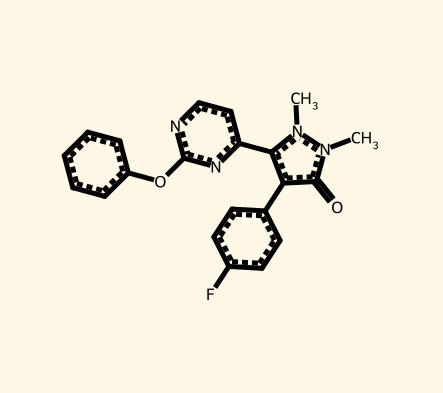 Cn1c(-c2ccnc(Oc3ccccc3)n2)c(-c2ccc(F)cc2)c(=O)n1C